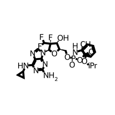 CC(C)OC(=O)[C@@H](C)NP(=O)(OC[C@H]1O[C@@H](n2cnc3c(NC4CC4)nc(N)nc32)[C@@](F)(C(F)F)[C@@H]1O)Oc1ccccc1